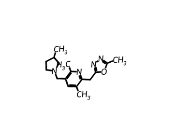 Cc1nnc(Cc2nc(C)c(CN3CCC(C)C3)cc2C)o1